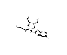 CCCCP(=Cc1nc2cc(Br)cnc2[nH]1)(CCCC)CCCC